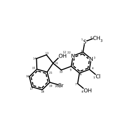 CSc1nc(Cl)c(CO)c(CC2(O)CCc3cccc(Br)c32)n1